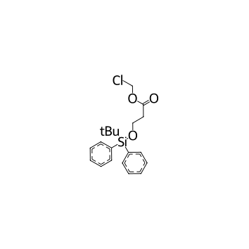 CC(C)(C)[Si](OCCC(=O)OCCl)(c1ccccc1)c1ccccc1